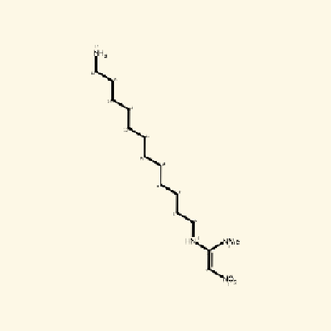 CN/C(=C\[N+](=O)[O-])NCCCCCCCCCCCCN